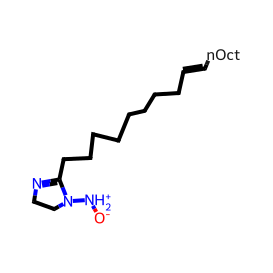 CCCCCCCCC=CCCCCCCCCC1=NCCN1[NH2+][O-]